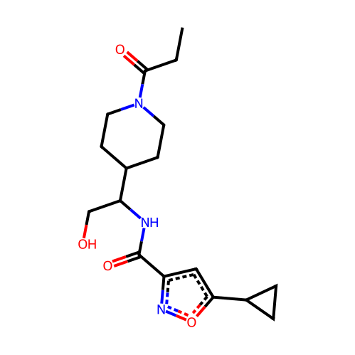 CCC(=O)N1CCC(C(CO)NC(=O)c2cc(C3CC3)on2)CC1